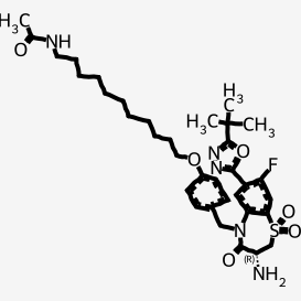 CC(=O)NCCCCCCCCCCCOc1ccc(CN2C(=O)[C@@H](N)CS(=O)(=O)c3cc(F)c(-c4nnc(C(C)(C)C)o4)cc32)cc1